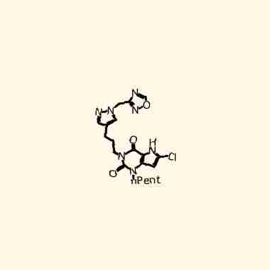 CCCCCn1c(=O)n(CCCc2cnn(Cc3ncon3)c2)c(=O)c2[nH]c(Cl)cc21